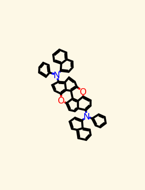 c1ccc(N(c2cccc3ccccc23)c2ccc3oc4ccc5c(N(c6ccccc6)c6cccc7ccccc67)ccc6oc7ccc2c3c7-c4c65)cc1